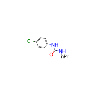 CCCNC(=O)Nc1ccc(Cl)cc1